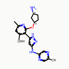 COc1cc(C)nc(O[C@@H]2CC[C@H](N)C2)c1-c1cc(Nc2cnc(C#N)cn2)n[nH]1